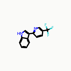 FC(F)(F)c1ccc(-c2c[nH]c3ccccc23)nc1